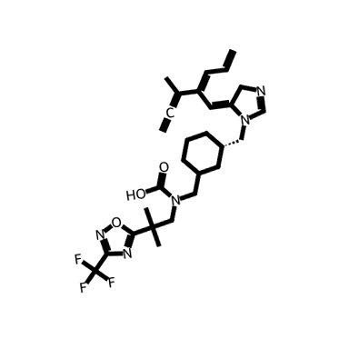 C=C=C(C)C(=C/C=C)/C=C1\CN=CN1C[C@H]1CCCC(CN(CC(C)(C)c2nc(C(F)(F)F)no2)C(=O)O)C1